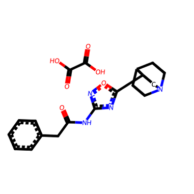 O=C(Cc1ccccc1)Nc1noc(C2CN3CCC2CC3)n1.O=C(O)C(=O)O